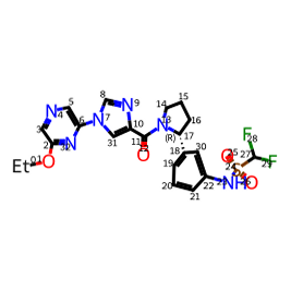 CCOc1cncc(-n2cnc(C(=O)N3CCC[C@@H]3c3cccc(NS(=O)(=O)C(F)F)c3)c2)n1